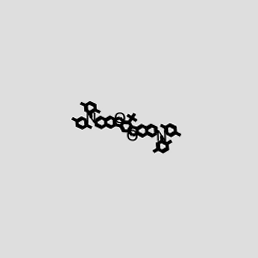 Cc1ccc(C)c(N(c2ccc3cc4c(cc3c2)oc2c(C(C)(C)C)c3c(cc24)oc2cc4cc(N(c5cc(C)ccc5C)c5cc(C)ccc5C)ccc4cc23)c2cc(C)ccc2C)c1